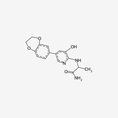 CC(Nc1ncc(-c2ccc3c(c2)OCCO3)cc1O)C(N)=O